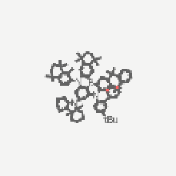 Cc1c(N2c3cc4c(cc3B3c5cc6c(cc5N(c5ccc(C(C)(C)C)cc5-c5ccccc5)c5cc(N7c8ccccc8C8(C)CCCCC78C)cc2c53)C(C)(C)c2ccccc2C6(C)C)C(C)(C)CCC4(C)C)ccc2c1C(C)(C)CCC2(C)C